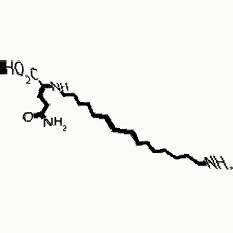 NCCCCCCCCCCCCCCCN[C@@H](CCC(N)=O)C(=O)O